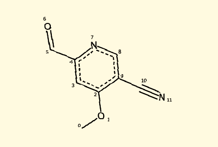 COc1cc(C=O)ncc1C#N